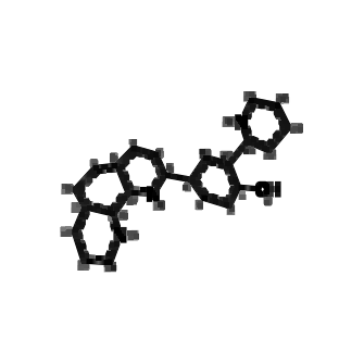 Oc1ccc(-c2ccc3ccc4cccnc4c3n2)cc1-c1ccccn1